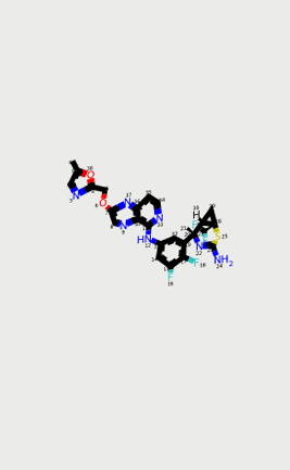 Cc1cnc(COc2cnc3c(Nc4cc(F)c(F)c([C@@]5(C)N=C(N)S[C@@]6(C(F)F)C[C@@H]56)c4)nccc3n2)o1